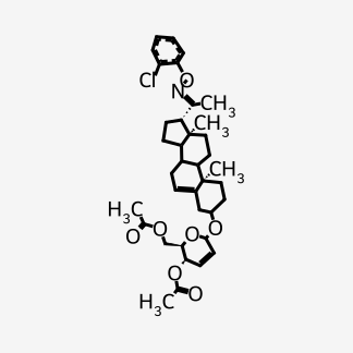 CC(=O)OC[C@H]1OC(OC2CC[C@@]3(C)C(=CCC4C3CC[C@@]3(C)C4CC[C@@H]3/C(C)=N/Oc3ccccc3Cl)C2)C=C[C@@H]1OC(C)=O